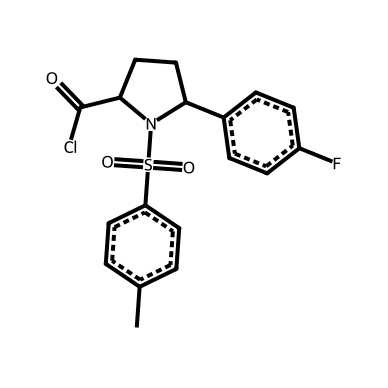 Cc1ccc(S(=O)(=O)N2C(C(=O)Cl)CCC2c2ccc(F)cc2)cc1